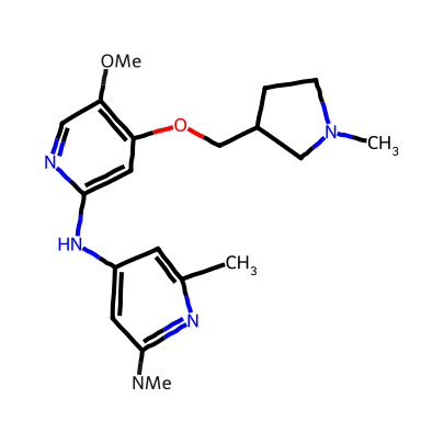 CNc1cc(Nc2cc(OCC3CCN(C)C3)c(OC)cn2)cc(C)n1